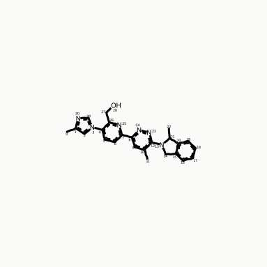 Cc1cn(-c2ccc(-c3cc(C)c(N4Cc5ccccc5C4C)nn3)nc2CO)cn1